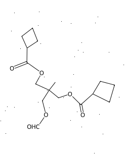 CC(COC=O)(COC(=O)C1CCC1)COC(=O)C1CCC1